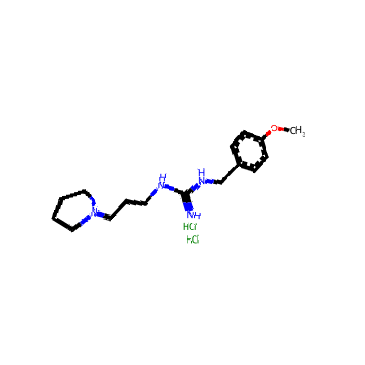 COc1ccc(CNC(=N)NCCCN2CCCC2)cc1.Cl.Cl